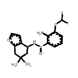 CC1(C)Cc2occc2C(N[S+]([O-])c2cccc(OC(F)F)c2N)C1